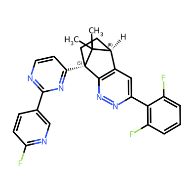 CC1(C)[C@H]2CC[C@]1(c1ccnc(-c3ccc(F)nc3)n1)c1nnc(-c3c(F)cccc3F)cc12